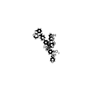 Cc1ccccc1[C@@H]1COCCCN1[C@@H]1CC12CCN(c1ccc(C(=O)NS(=O)(=O)c3ccc(NCC4(F)CCOCC4)c([N+](=O)[O-])c3)c(N3c4cc5cc[nH]c5nc4O[C@H]4COCC[C@@H]43)c1)CC2